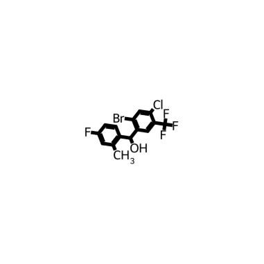 Cc1cc(F)ccc1C(O)c1cc(C(F)(F)F)c(Cl)cc1Br